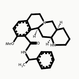 COc1ccc2c(c1C(=O)N[C@H](C)c1ccccc1)[C@@H]1C[C@@H]3NCCC[C@@H]3CN1CC2